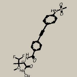 COC(C)(C(F)F)[C@H](NC(=O)c1ccc(C#Cc2ccc(NS(C)(=O)=O)cc2)cc1)C(=O)NO